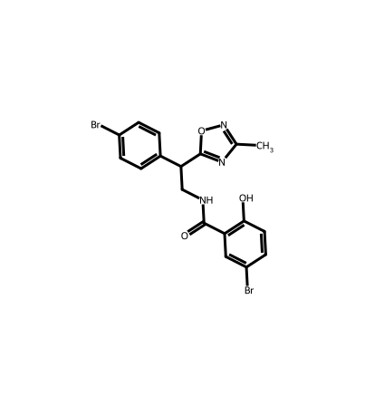 Cc1noc(C(CNC(=O)c2cc(Br)ccc2O)c2ccc(Br)cc2)n1